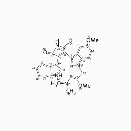 COc1ccc2c(c1)c(C1=C(c3c[nH]c4ccccc34)C(=O)NC1=O)cn2CC(CN(C)C)OC